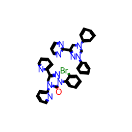 O=C1N(c2ccccn2)CC(c2ccccn2)=NN1c1ccccc1Br.c1ccc(N2CC(c3ncccn3)=NN(c3ccccc3)C2)cc1